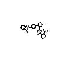 O=C(O)C1CCCCC1C(=O)NCC1CNCCC1c1ccc(COc2ccccc2C(F)(F)F)cc1